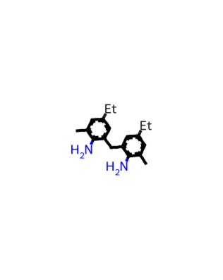 CCc1cc(C)c(N)c(Cc2cc(CC)cc(C)c2N)c1